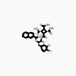 C[C@H](NC(=O)C1[C@H](C(=O)O)C(C(=O)O)[C@H]1C(=O)O)[C@H](Cc1ccc(Cl)c(Cl)c1)OC(=O)c1ccc2ccccc2c1